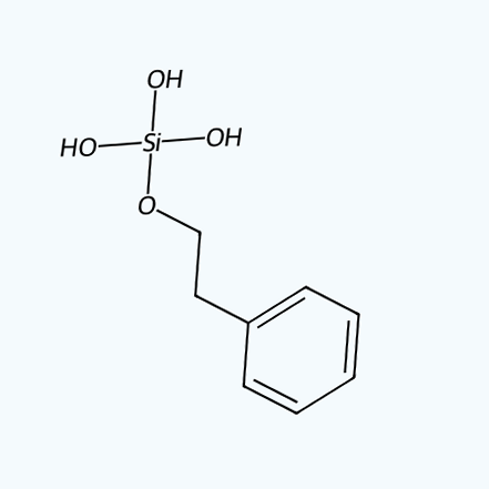 O[Si](O)(O)OCCc1ccccc1